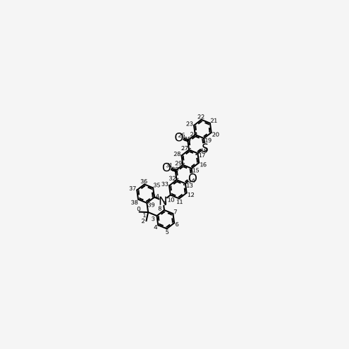 CC1(C)c2ccccc2N(c2ccc3oc4cc5sc6ccccc6c(=O)c5cc4c(=O)c3c2)c2ccccc21